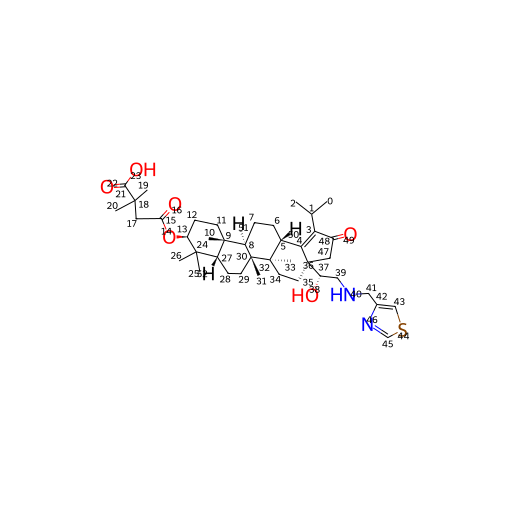 CC(C)C1=C2[C@H]3CC[C@@H]4[C@@]5(C)CC[C@H](OC(=O)CC(C)(C)C(=O)O)C(C)(C)[C@H]5CC[C@@]4(C)[C@]3(C)CC[C@@]2([C@@H](O)CNCc2cscn2)CC1=O